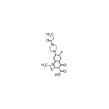 CCC(=O)N1CCN(c2cc3c(cc2F)c(=O)c(C(=O)O)c2n3C(C)S2)CC1